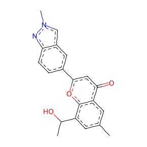 Cc1cc(C(C)O)c2oc(-c3ccc4nn(C)cc4c3)cc(=O)c2c1